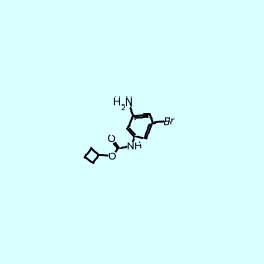 Nc1cc(Br)cc(NC(=O)OC2CCC2)c1